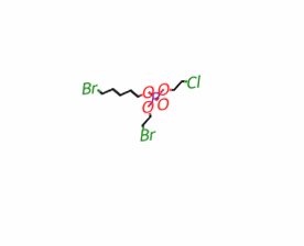 O=P(OCCCl)(OCCBr)OCCCCCBr